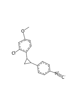 [C-]#[N+]c1ccc(C2CC2c2ccc(OC)cc2Cl)cc1